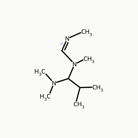 C/N=C\N(C)C(C(C)C)N(C)C